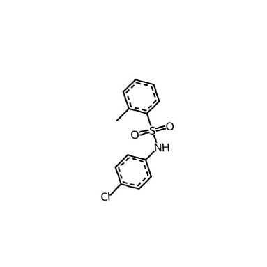 Cc1ccccc1S(=O)(=O)Nc1ccc(Cl)cc1